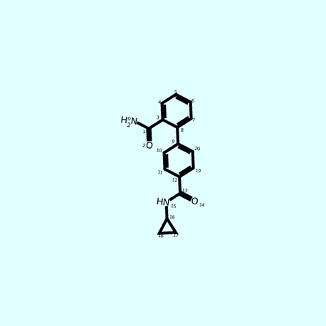 NC(=O)c1c[c]ccc1-c1ccc(C(=O)NC2CC2)cc1